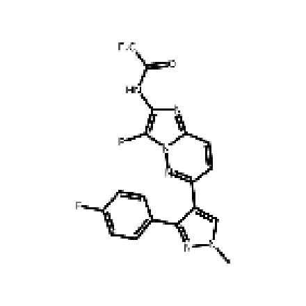 Cn1cc(-c2ccc3nc(NC(=O)C(F)(F)F)c(F)n3n2)c(-c2ccc(F)cc2)n1